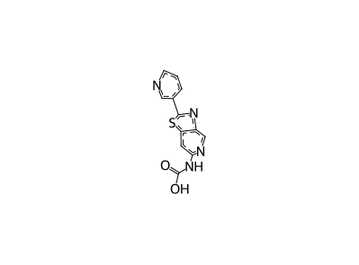 O=C(O)Nc1cc2sc(-c3cccnc3)nc2cn1